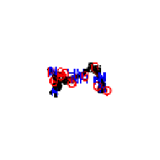 CC/N=c1/ccc2c(-c3ccc(S(=O)(=O)NCCNC(=O)CCC[Si](C)(C)O[Si](C)(C)CSc4ncc(CN5C(=O)C=CC5=O)cn4)cc3S(=O)(=O)O)c3ccc(N(CC)CC)cc3oc-2c1